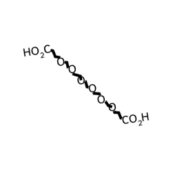 O=C(O)CCCOCCOCCOCCOCCOCCOCCCC(=O)O